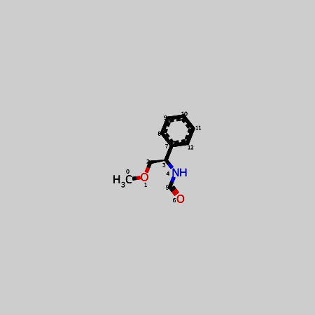 COC[C@H](NC=O)c1ccccc1